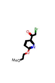 COCCOc1ccc(C(=O)CBr)cn1